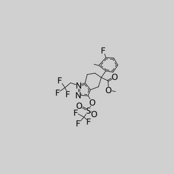 COC(=O)C1(c2cccc(F)c2C)CCc2c(c(OS(=O)(=O)C(F)(F)F)nn2CC(F)(F)F)C1